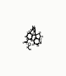 C=C(OCC)c1ccc(C#N)c(C2(C#N)CCc3ncccc32)c1